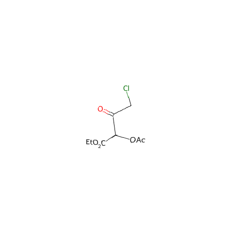 CCOC(=O)C(OC(C)=O)C(=O)CCl